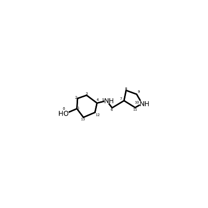 OC1CCC(NCC2CCNC2)CC1